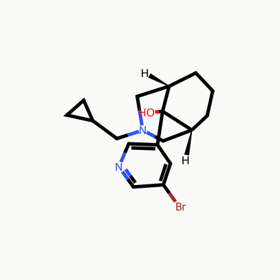 OC1(c2cncc(Br)c2)[C@@H]2CCC[C@H]1CN(CC1CC1)C2